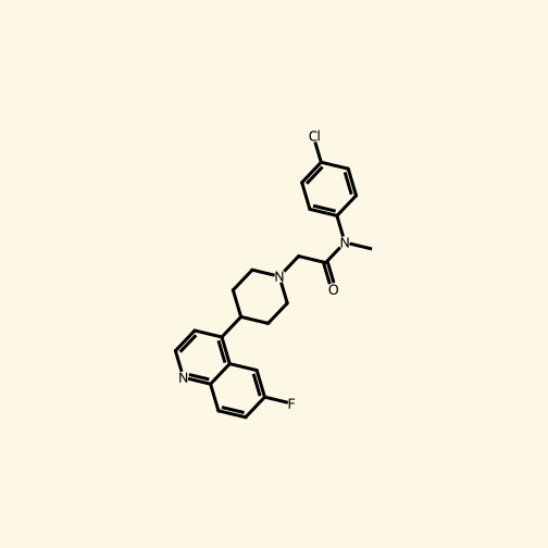 CN(C(=O)CN1CCC(c2ccnc3ccc(F)cc23)CC1)c1ccc(Cl)cc1